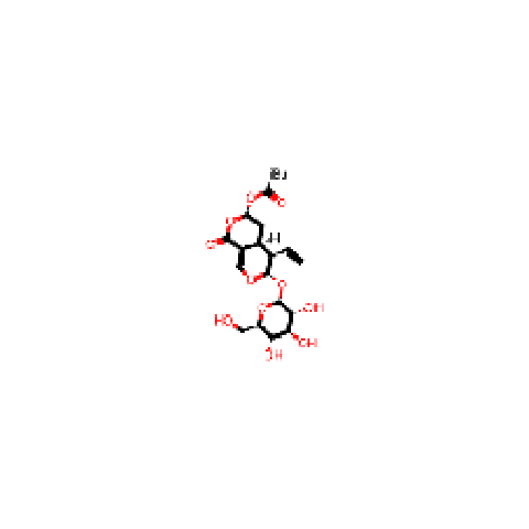 C=C[C@H]1[C@H](O[C@@H]2O[C@H](CO)[C@@H](O)[C@H](O)[C@H]2O)OC=C2C(=O)O[C@H](OC(=O)[C@@H](C)CC)C[C@H]21